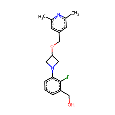 Cc1cc(COC2CN(c3cccc(CO)c3F)C2)cc(C)n1